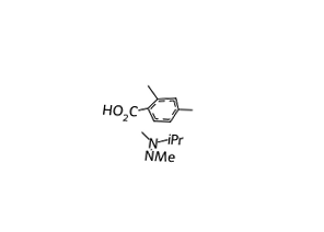 CNN(C)C(C)C.Cc1ccc(C(=O)O)c(C)c1